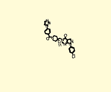 O=C(c1ccc(-n2ccnn2)cc1)N1CCC(O)(Cn2cnc3c(cnn3-c3ccc(Cl)cc3)c2=O)CC1